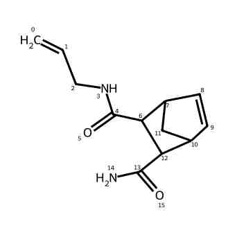 C=CCNC(=O)C1C2C=CC(C2)C1C(N)=O